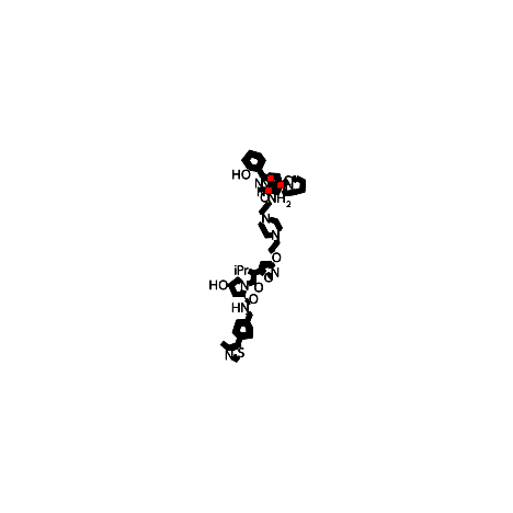 Cc1ncsc1-c1ccc(CNC(=O)[C@@H]2C[C@@H](O)CN2C(=O)C(c2cc(OCCN3CCN(CCOc4cc(N5C6CCC5CN(c5cc(-c7ccccc7O)nnc5N)C6)ccn4)CC3)no2)C(C)C)cc1